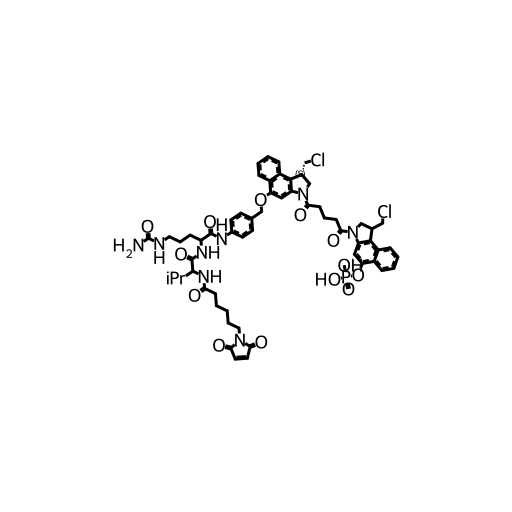 CC(C)C(NC(=O)CCCCCN1C(=O)C=CC1=O)C(=O)NC(CCCNC(N)=O)C(=O)Nc1ccc(COc2cc3c(c4ccccc24)[C@H](CCl)CN3C(=O)CCCC(=O)N2CC(CCl)c3c2cc(OP(=O)(O)O)c2ccccc32)cc1